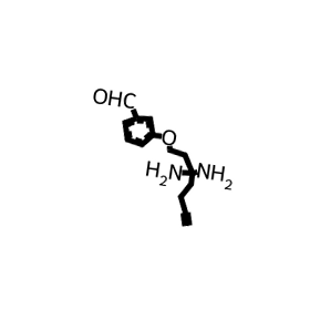 C#CCCC(N)(N)CCOc1cccc(C=O)c1